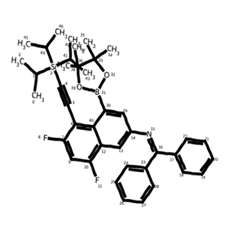 CC(C)[Si](C#Cc1c(F)cc(F)c2cc(N=C(c3ccccc3)c3ccccc3)cc(B3OC(C)(C)C(C)(C)O3)c12)(C(C)C)C(C)C